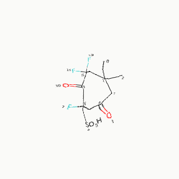 CC1(C)CC(=O)C(F)(S(=O)(=O)O)C(=O)C1(F)F